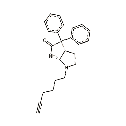 C#CCCCCN1CC[C@@H](C(C(N)=O)(c2ccccc2)c2ccccc2)C1